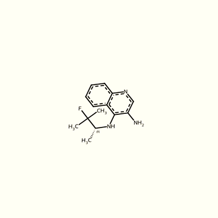 C[C@@H](Nc1c(N)cnc2ccccc12)C(C)(C)F